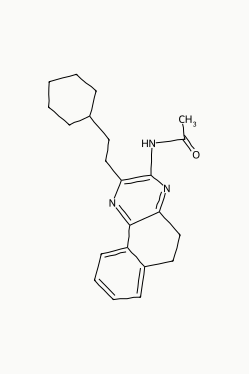 CC(=O)Nc1nc2c(nc1CCC1CCCCC1)-c1ccccc1CC2